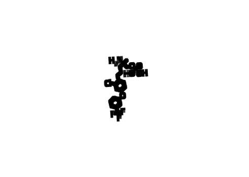 CC(N)(CCCc1ccc(Oc2cccc(C(F)(F)F)c2)cc1Cl)COP(=O)(O)O